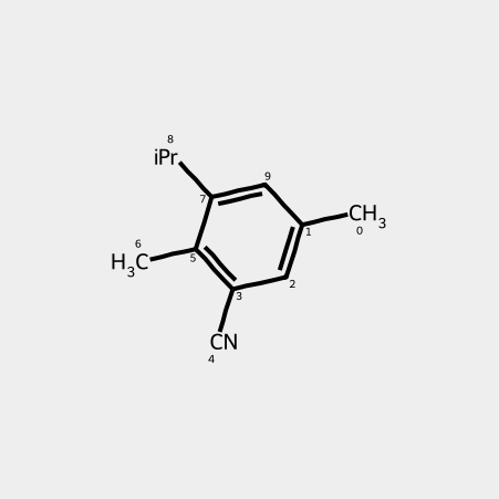 Cc1cc(C#N)c(C)c(C(C)C)c1